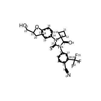 N#Cc1ccc(N2C(=O)C3(CCC3)N(c3ccc4c(c3)CC(CO)O4)C2=S)cc1C(F)(F)F